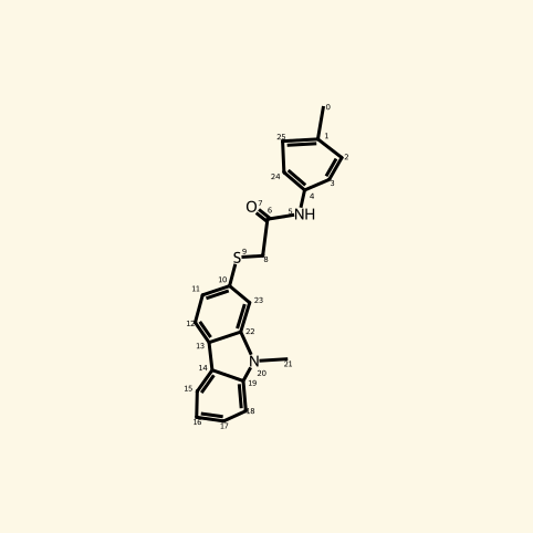 Cc1ccc(NC(=O)CSc2ccc3c4ccccc4n(C)c3c2)cc1